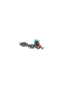 CCCC1CCc2cc(C3CCC(CCCCC4CCC(CC)CC4)CC3)cc(OC(F)(F)F)c2O1